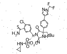 CC(C)(C)CC1(c2ccc(-c3cnn(C(F)F)c3)cc2)NC(=NC(=O)O)N([C@H](COC(=O)NC2CC2)c2ccc(Cl)c(C(N)=S)c2)C1=O